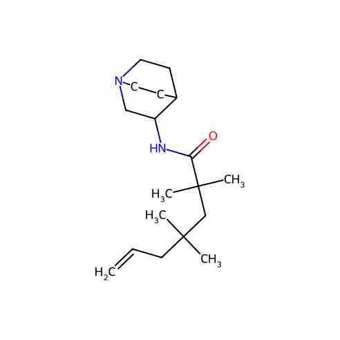 C=CCC(C)(C)CC(C)(C)C(=O)NC1CN2CCC1CC2